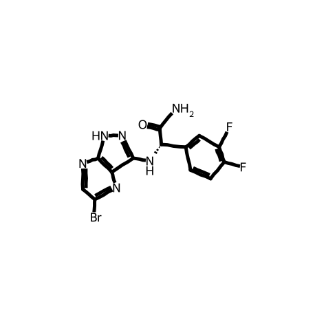 NC(=O)[C@@H](Nc1n[nH]c2ncc(Br)nc12)c1ccc(F)c(F)c1